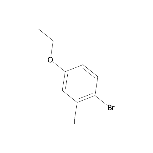 CCOc1ccc(Br)c(I)c1